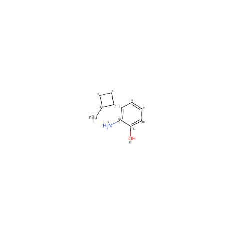 CCCCC1CCC1.Nc1ccccc1O